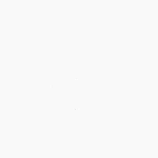 C#CC12CC(=CO)C(=O)C=C1c1ccccc1C2